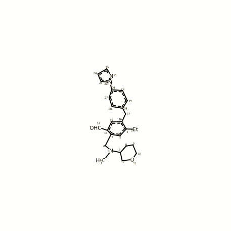 CCc1cc(CN(C)C2CCCOC2)c(C=O)cc1Cc1ccc(-n2cccn2)cc1